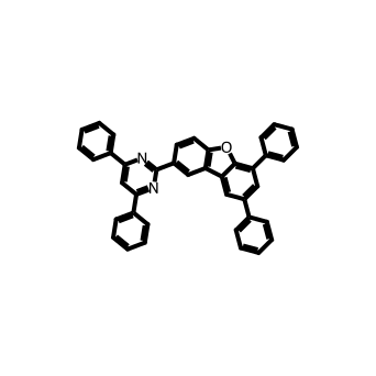 c1ccc(-c2cc(-c3ccccc3)c3oc4ccc(-c5nc(-c6ccccc6)cc(-c6ccccc6)n5)cc4c3c2)cc1